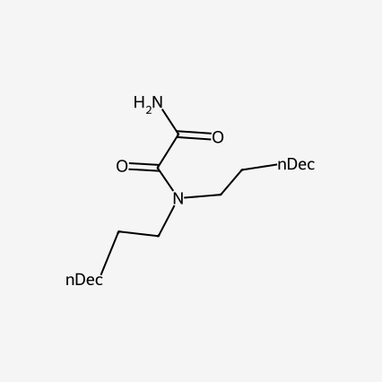 CCCCCCCCCCCCN(CCCCCCCCCCCC)C(=O)C(N)=O